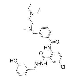 CCN(CC)CCN(C)Cc1cccc(C(=O)Nc2ccc(Cl)cc2C(=O)N/N=C/c2cccc(O)c2)c1